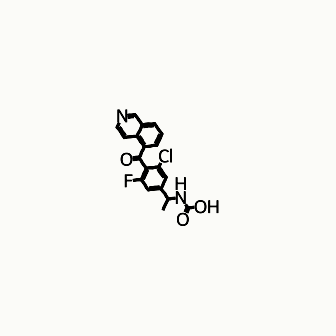 CC(NC(=O)O)c1cc(F)c(C(=O)c2cccc3cnccc23)c(Cl)c1